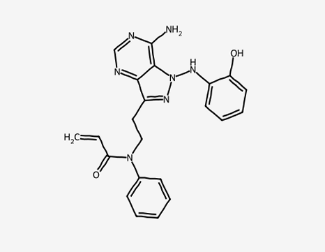 C=CC(=O)N(CCc1nn(Nc2ccccc2O)c2c(N)ncnc12)c1ccccc1